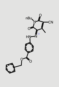 CCCCN1C(=O)C(C#N)=C(C)/C(=N/Nc2ccc(C(=O)OCc3ccccc3)cc2)C1=O